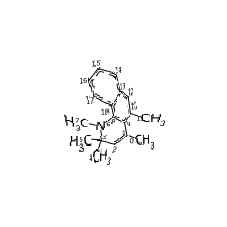 CC1=CC(C)(C)N(C)c2c1c(C)cc1ccccc21